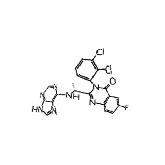 C[C@@H](Nc1ncnc2[nH]cnc12)c1nc2ccc(F)cc2c(=O)n1-c1cccc(Cl)c1Cl